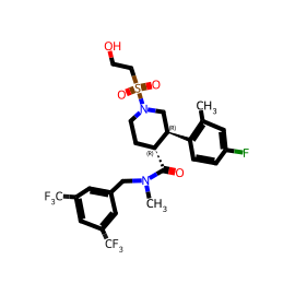 Cc1cc(F)ccc1[C@@H]1CN(S(=O)(=O)CCO)CC[C@H]1C(=O)N(C)Cc1cc(C(F)(F)F)cc(C(F)(F)F)c1